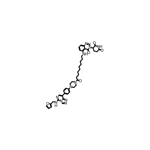 O=C1CCC(n2nnc3cccc(NCCCCCCCCCC(=O)N4CCN(c5ccc(-c6cnc(NCc7ccco7)n7cnnc67)cc5)CC4)c3c2=O)C(=O)N1